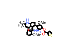 COc1cc(OC(=O)c2ccsc2)ccc1-c1ccc2c(c1C(N)c1ccccc1OC)C(C)=CC(C)(C)N2